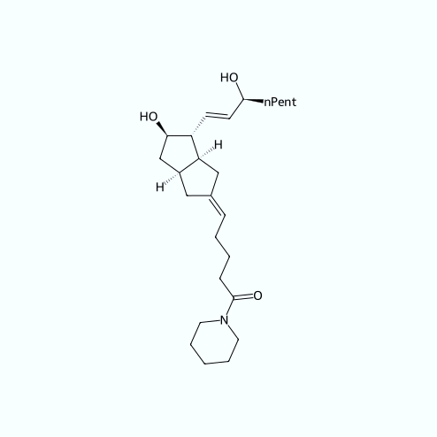 CCCCC[C@H](O)C=C[C@@H]1[C@H]2CC(=CCCCC(=O)N3CCCCC3)C[C@H]2C[C@H]1O